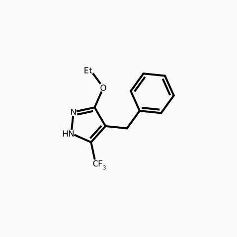 CCOc1n[nH]c(C(F)(F)F)c1Cc1ccccc1